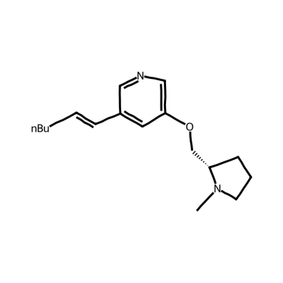 CCCC/C=C/c1cncc(OC[C@@H]2CCCN2C)c1